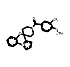 CC[C@H](C)Oc1ccc(C(=O)N2CCC3(CC2)Oc2ccccc2-n2cccc23)cc1C(F)(F)F